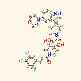 O=C(C=Cc1cc(F)c(F)cc1F)N1CCC(O)(C(O)CN2CCC(c3c[nH]c4ccc(N5CCOCC5)cc34)CC2)CC1